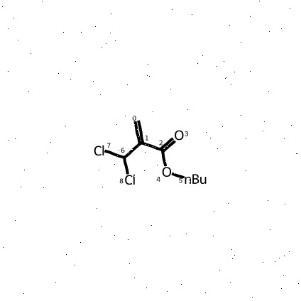 C=C(C(=O)OCCCC)C(Cl)Cl